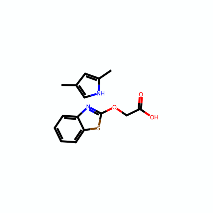 Cc1c[nH]c(C)c1.O=C(O)COc1nc2ccccc2s1